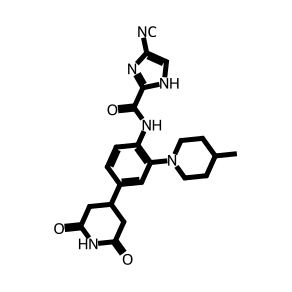 [C-]#[N+]c1c[nH]c(C(=O)Nc2ccc(C3CC(=O)NC(=O)C3)cc2N2CCC(C)CC2)n1